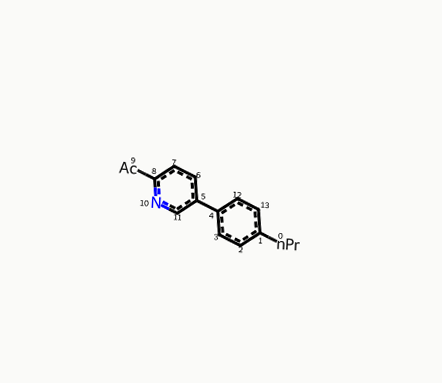 CCCc1ccc(-c2ccc(C(C)=O)nc2)cc1